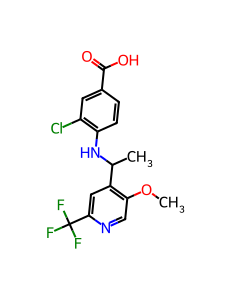 COc1cnc(C(F)(F)F)cc1C(C)Nc1ccc(C(=O)O)cc1Cl